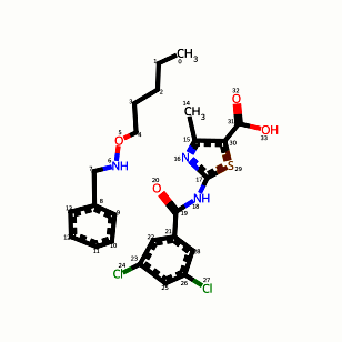 CCCCCONCc1ccccc1.Cc1nc(NC(=O)c2cc(Cl)cc(Cl)c2)sc1C(=O)O